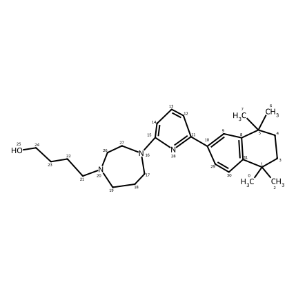 CC1(C)CCC(C)(C)c2cc(-c3cccc(N4CCCN(CCCCO)CC4)n3)ccc21